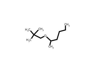 CCCCC(C)OCC(C)(C)C